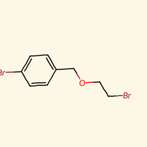 BrCCOCc1ccc(Br)cc1